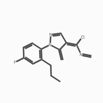 C=N/C(Cl)=c1/cnn(-c2ccc(F)cc2CCC)c1=C